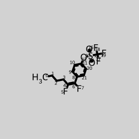 CCCC/C(F)=C(/F)c1ccc(OS(=O)(=O)C(F)(F)F)cc1